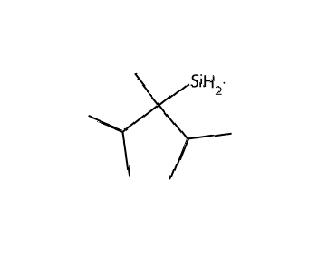 CC(C)C(C)([SiH2])C(C)C